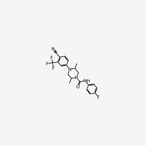 CC1CN(c2ccc(C#N)c(C(F)(F)F)c2)C(C)CN1C(=O)Nc1ccc(F)cc1